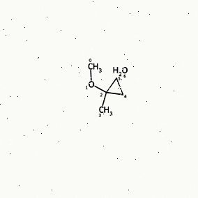 COC1(C)CC1.O